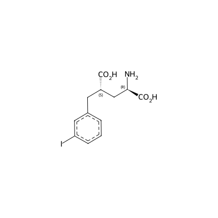 N[C@H](C[C@H](Cc1cccc(I)c1)C(=O)O)C(=O)O